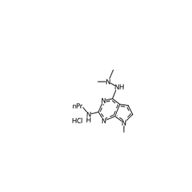 CCCNc1nc(NN(C)C)c2ccn(C)c2n1.Cl